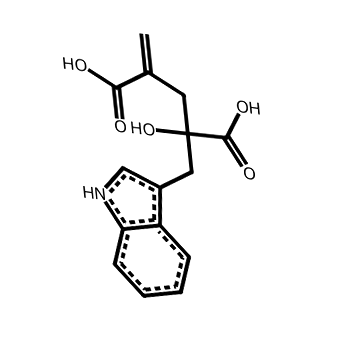 C=C(CC(O)(Cc1c[nH]c2ccccc12)C(=O)O)C(=O)O